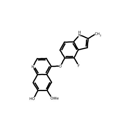 COc1cc2c(Oc3ccc4[nH]c(C)cc4c3F)ccnc2cc1O